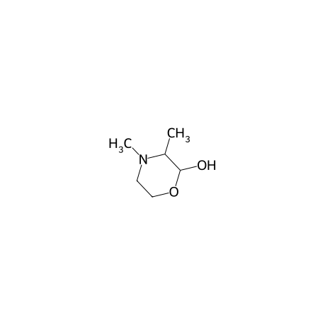 CC1C(O)OCCN1C